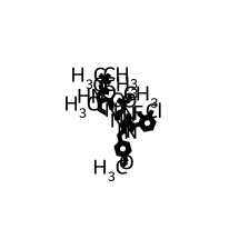 COC(=O)c1nc2c(-c3cccc(Cl)c3F)nn(Cc3ccc(OC)cc3)c2nc1N1CCC(C)(NC(=O)OC(C)(C)C)CC1